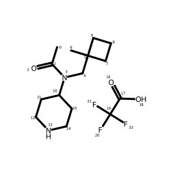 CC(=O)N(CC1(C)CCC1)C1CCNCC1.O=C(O)C(F)(F)F